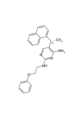 C[C@H](c1cnc(NCCOc2ccccc2)nc1N)c1cccc2ccccc12